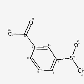 C[S+]([O-])c1cccc(C(=O)Cl)c1